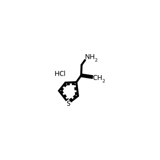 C=C(CN)c1ccsc1.Cl